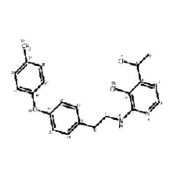 CC(Cl)c1ncnc(NCCc2ccc(Oc3ccc(C(F)(F)F)cc3)cc2)c1Cl